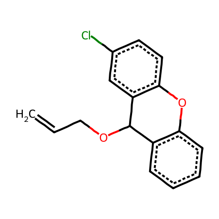 C=CCOC1c2ccccc2Oc2ccc(Cl)cc21